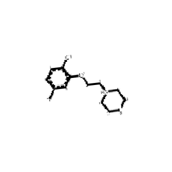 [CH2]c1ccc(Cl)c(OCCN2CCOCC2)c1